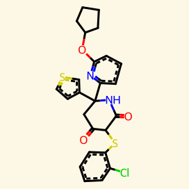 O=C1CC(c2ccsc2)(c2cccc(OC3CCCC3)n2)NC(=O)C1Sc1ccccc1Cl